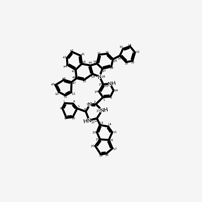 C1=C(C2=NC(c3ccccc3)NC(c3ccc4ccccc4c3)N2)C=C(n2c3cc(-c4ccccc4)ccc3c3c4ccccc4c(-c4ccccc4)cc32)NC1